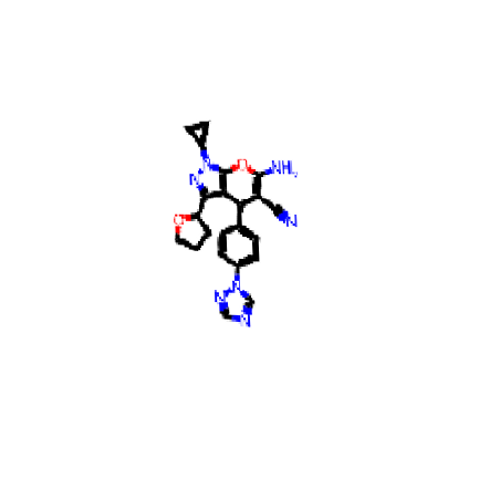 N#CC1=C(N)Oc2c(c(C3CCCO3)nn2C2CC2)C1c1ccc(-n2cncn2)cc1